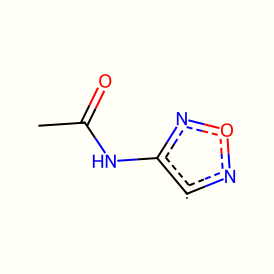 CC(=O)Nc1[c]non1